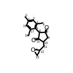 Cc1cc(C)c(C2C(=O)CC(CC3CO3)C2=O)c(C)c1